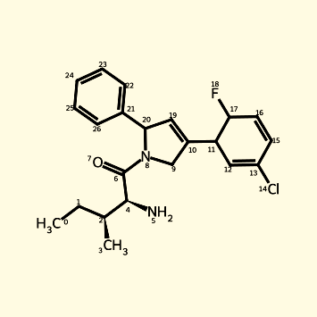 CC[C@H](C)[C@H](N)C(=O)N1CC(C2C=C(Cl)C=CC2F)=CC1c1ccccc1